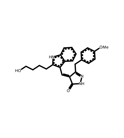 COc1ccc(CC2=NNC(=O)C2=Cc2c(CCCCO)[nH]c3ccccc23)cc1